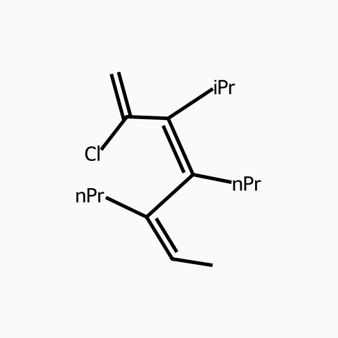 C=C(Cl)/C(=C(CCC)\C(=C/C)CCC)C(C)C